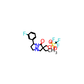 CCC1(COS(=O)(=O)C(F)(F)F)CN2CCC(c3cccc(F)c3)N2C1=O